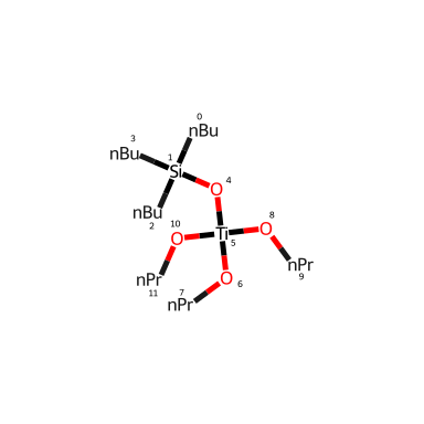 CCCC[Si](CCCC)(CCCC)[O][Ti]([O]CCC)([O]CCC)[O]CCC